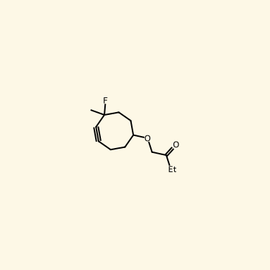 CCC(=O)COC1CCC#CC(C)(F)CC1